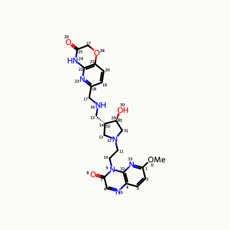 COc1ccc2ncc(=O)n(CCN3C[C@H](CNCc4ccc5c(n4)NC(=O)CO5)[C@@H](O)C3)c2n1